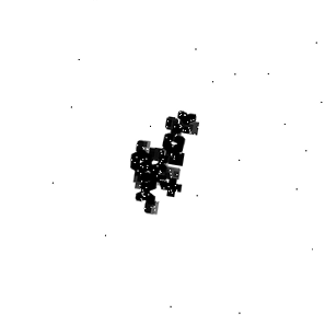 CC(CCl)=C(F)C[C@]1(C#N)[C@H](CC(C)(C)C)N[C@@H](C(=O)NC2CCN(C(=O)NC(C)C)CC2)[C@@H]1c1cccc(Cl)c1F